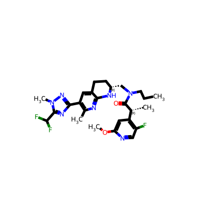 CCCN(C[C@H]1CCc2cc(-c3nc(C(F)F)n(C)n3)c(C)nc2N1)C(=O)[C@H](C)c1cc(OC)ncc1F